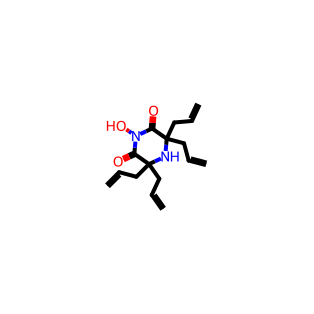 C=CCC1(CC=C)NC(CC=C)(CC=C)C(=O)N(O)C1=O